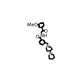 COc1cccc(C(=O)CNC(=O)c2cccc(CN3CCC(N4CCCCC4)CC3)c2)c1